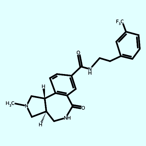 CN1C[C@@H]2CNC(=O)c3cc(C(=O)NCCc4cccc(C(F)(F)F)c4)ccc3[C@H]2C1